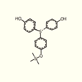 C[Si](C)(C)Oc1ccc([S+](c2ccc(O)cc2)c2ccc(O)cc2)cc1